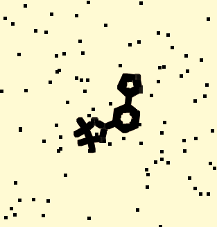 CC1(C)OB(c2cccc(-c3ccon3)c2)OC1(C)C